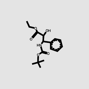 CCOC(=O)C(O)C(NC(=O)OC(C)(C)C)c1ccccc1